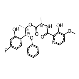 COc1ccnc(C(=O)N[C@@H](C)C(=O)O[C@@H](C)[C@H](Oc2ccccc2)c2ccc(F)cc2O)c1O